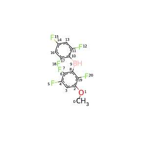 COc1cc(F)c(F)c(Bc2c(F)cc(F)cc2F)c1F